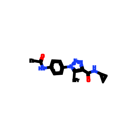 CCCc1c(C(=O)NC2CC2)nnn1-c1ccc(NC(=O)CC)cc1